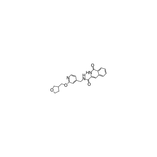 O=C(NCc1ccnc(OCC2CCOC2)c1)c1cc2ccccc2c(=O)[nH]1